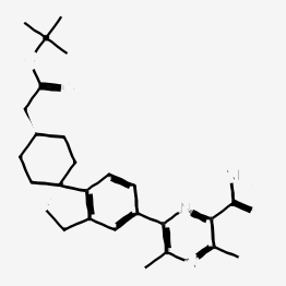 Cc1nc(C)c(-c2ccc3c(c2)CC[C@]32CC[C@H](CC(=O)OC(C)(C)C)CC2)nc1C(N)=O